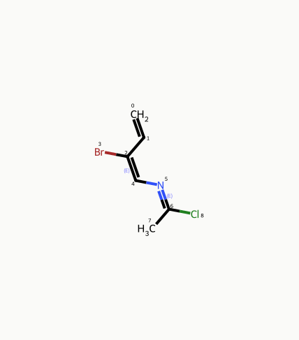 C=C/C(Br)=C\N=C(/C)Cl